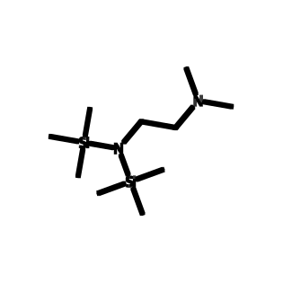 CN(C)CCN([Si](C)(C)C)[Si](C)(C)C